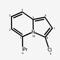 CC(C)c1cccc2ccc(Cl)n12